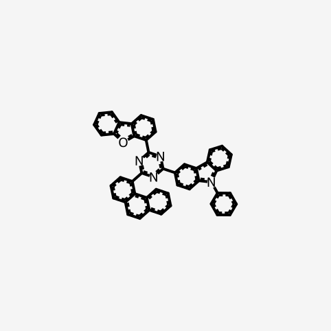 c1ccc(-n2c3ccccc3c3cc(-c4nc(-c5cccc6c5oc5ccccc56)nc(-c5cccc6ccc7ccccc7c56)n4)ccc32)cc1